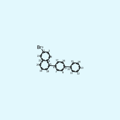 Brc1ccc2c(-c3ccc(-c4ccccc4)cc3)cccc2c1